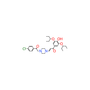 CCC(CC)Oc1cc(C(=O)C=CN2CCN(CC(=O)c3ccc(Cl)cc3)CC2)cc(OC(CC)CC)c1O